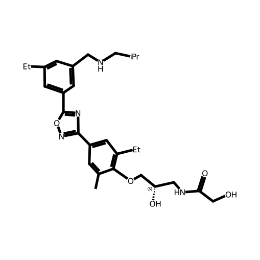 CCc1cc(CNCC(C)C)cc(-c2nc(-c3cc(C)c(OC[C@@H](O)CNC(=O)CO)c(CC)c3)no2)c1